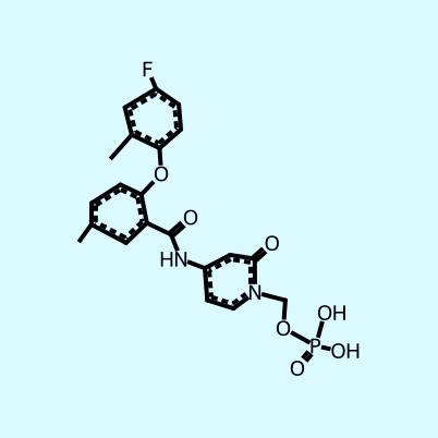 Cc1ccc(Oc2ccc(F)cc2C)c(C(=O)Nc2ccn(COP(=O)(O)O)c(=O)c2)c1